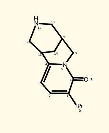 CC(C)c1ccc2n(c1=O)CC1CNCC2C1